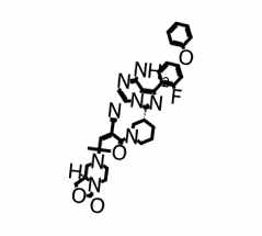 CC(C)(/C=C(/C#N)C(=O)N1CCC[C@@H](c2nc(-c3ccc(Oc4ccccc4)cc3F)c3c(N)nccn23)C1)N1CCN2C(=O)OC[C@H]2C1